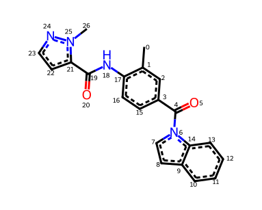 Cc1cc(C(=O)n2ccc3ccccc32)ccc1NC(=O)c1ccnn1C